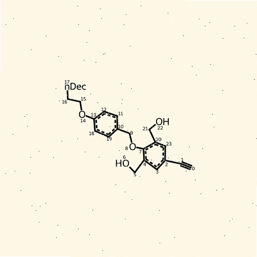 C#Cc1cc(CO)c(OCc2ccc(OCCCCCCCCCCCC)cc2)c(CO)c1